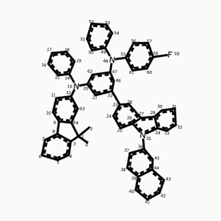 CC1(C)c2ccccc2-c2ccc(N(c3ccccc3)c3cc(-c4ccc5c(c4)c4ccccc4n5-c4ccc5ccccc5c4)cc(N(c4ccccc4)c4ccc(F)cc4)c3)cc21